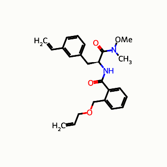 C=CCOCc1ccccc1C(=O)N[C@@H](Cc1cccc(C=C)c1)C(=O)N(C)OC